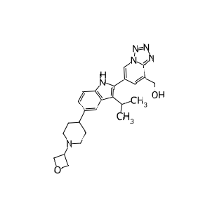 CC(C)c1c(-c2cc(CO)c3nnnn3c2)[nH]c2ccc(C3CCN(C4COC4)CC3)cc12